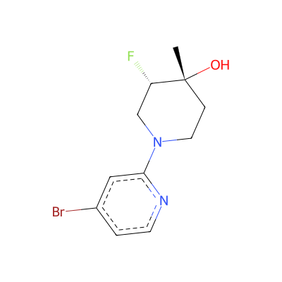 C[C@@]1(O)CCN(c2cc(Br)ccn2)C[C@@H]1F